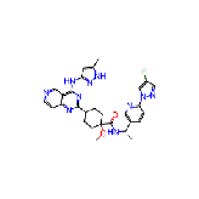 CO[C@]1(C(=O)N[C@@H](C)c2ccc(-n3cc(F)cn3)nc2)CC[C@H](c2nc(Nc3cc(C)[nH]n3)c3cnccc3n2)CC1